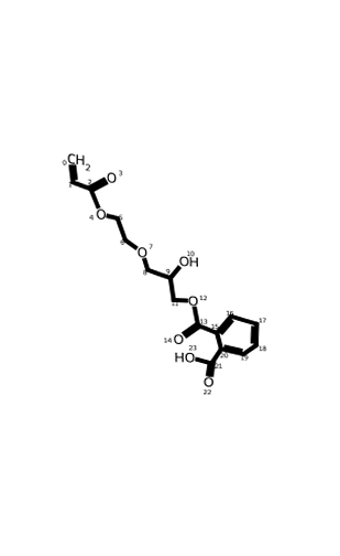 C=CC(=O)OCCOCC(O)COC(=O)c1ccccc1C(=O)O